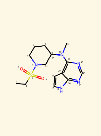 CCS(=O)(=O)N1CCC[C@@H](N(C)c2ncnc3[nH]ccc23)C1